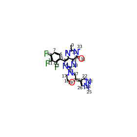 Cc1nc2c(-c3ccc(F)c(F)c3F)nc(N3CCO[C@H](c4cnn(C)c4)C3)nc2c(=O)n1C